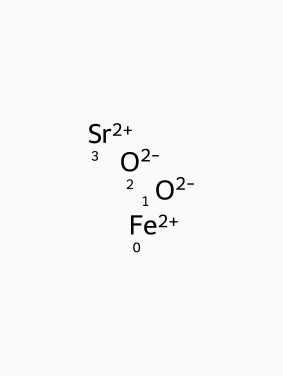 [Fe+2].[O-2].[O-2].[Sr+2]